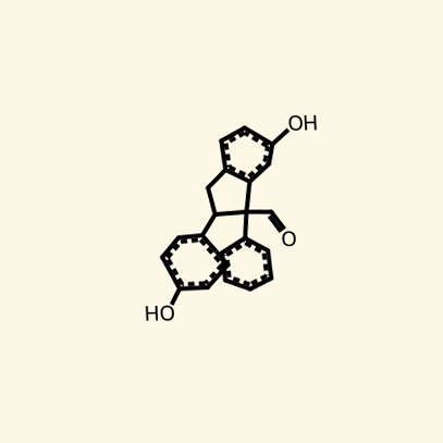 O=CC1(c2ccccc2)c2cc(O)ccc2CC1c1ccc(O)cc1